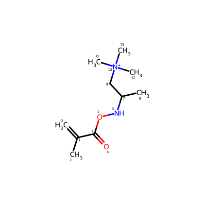 C=C(C)C(=O)ONC(C)C[N+](C)(C)C